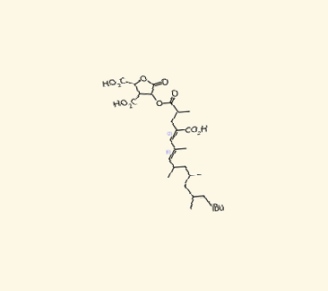 CCC(C)CC(C)CC(C)CC(C)/C=C(C)/C=C(/CC(C)C(=O)OC1C(=O)OC(C(=O)O)C1C(=O)O)C(=O)O